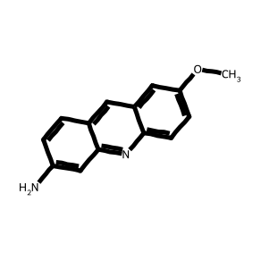 COc1ccc2nc3cc(N)ccc3cc2c1